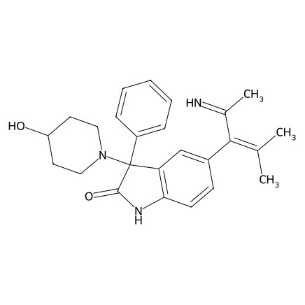 CC(=N)C(=C(C)C)c1ccc2c(c1)C(c1ccccc1)(N1CCC(O)CC1)C(=O)N2